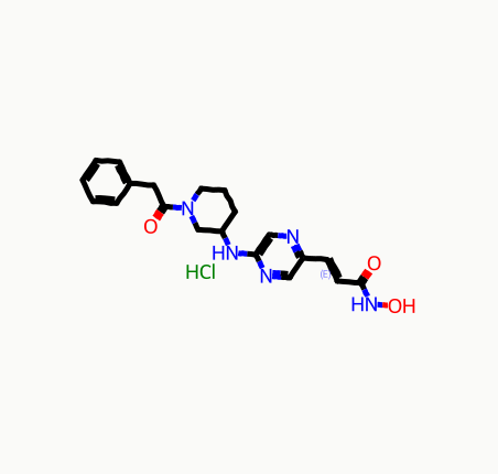 Cl.O=C(/C=C/c1cnc(NC2CCCN(C(=O)Cc3ccccc3)C2)cn1)NO